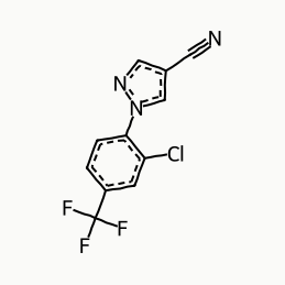 N#Cc1cnn(-c2ccc(C(F)(F)F)cc2Cl)c1